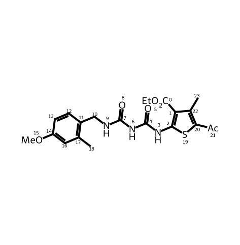 CCOC(=O)c1c(NC(=O)NC(=O)NCc2ccc(OC)cc2C)sc(C(C)=O)c1C